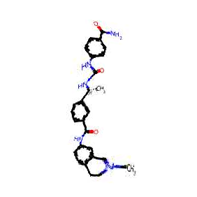 C[C@@H](NC(=O)Nc1ccc(C(N)=O)cc1)c1cccc(C(=O)Nc2ccc3c(c2)CN(C)CC3)c1